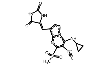 [C-]#[N+]c1c(S(C)(=O)=O)nc2c(/C=C3\NC(=O)NC3=O)cnn2c1NC1CC1